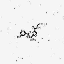 CC[C@H](C)[C@H](NC(=O)c1cncc(Br)c1)c1nc(C(=O)NCC(=O)O)co1